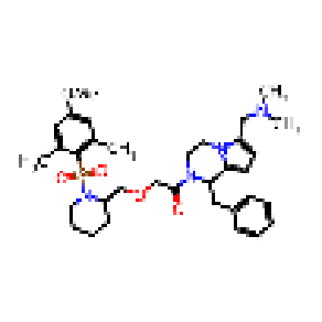 COc1cc(C)c(S(=O)(=O)N2CCCCC2COCC(=O)N2CCn3c(CN(C)C)ccc3C2Cc2ccccc2)c(C)c1